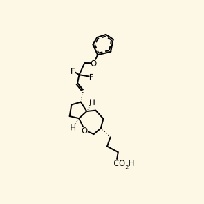 O=C(O)CCC[C@H]1CC[C@H]2[C@H](CC[C@@H]2/C=C/C(F)(F)COc2ccccc2)OC1